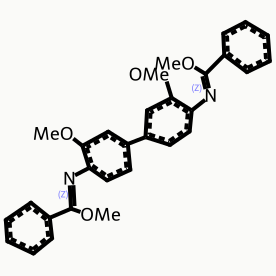 CO/C(=N\c1ccc(-c2ccc(/N=C(\OC)c3ccccc3)c(OC)c2)cc1OC)c1ccccc1